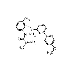 COc1cnc(-c2cccc(OCc3c(C)cccc3N(N)C(=O)N(C)N)c2)nc1